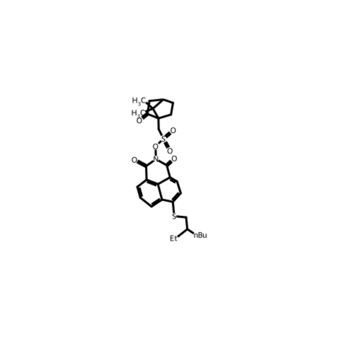 CCCCC(CC)CSc1ccc2c3c(cccc13)C(=O)N(OS(=O)(=O)CC13CCC(CC1=O)C3(C)C)C2=O